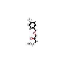 CCc1ccc(COCC(=O)CC(=O)O)cc1